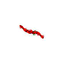 C=CC(=O)OCCCCOC(=O)Oc1ccc(C(=O)Oc2ccc3nc(-c4cc(Cl)c(OC(=O)c5ccc(OC(=O)OCCCCOC(=O)C=C)cc5)c(Cl)c4)oc(=O)c3c2)cc1